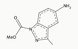 COC(=O)n1nc(C)c2cc(N)ccc21